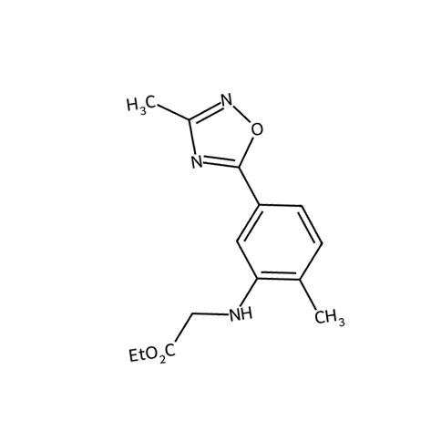 CCOC(=O)CNc1cc(-c2nc(C)no2)ccc1C